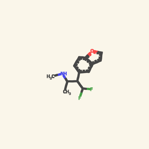 CNC(C)C(c1ccc2occc2c1)C(F)F